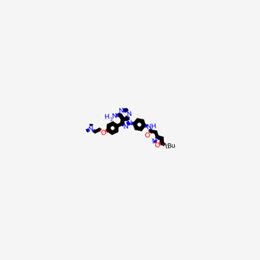 CN(C)CCOc1ccc(-c2nn(-c3ccc(NC(=O)Cc4cc(C(C)(C)C)on4)cc3)c3ncnc(N)c23)cc1